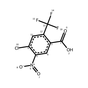 O=C(O)c1cc([N+](=O)[O-])c(Cl)cc1C(F)(F)F